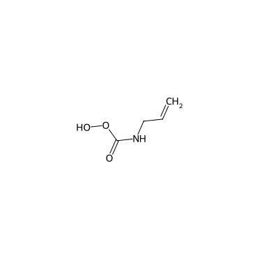 C=CCNC(=O)OO